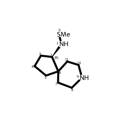 CSN[C@@H]1CCCC12CCNCC2